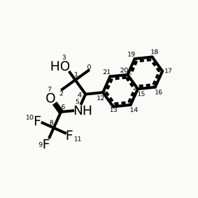 CC(C)(O)C(NC(=O)C(F)(F)F)c1ccc2ccccc2c1